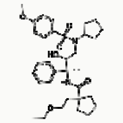 CCOCCC1(C(=O)N[C@@](C)(c2ccccc2)C(O)CN(C2CCCC2)S(=O)(=O)c2ccc(OC)cc2)CCCC1